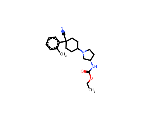 CCOC(=O)N[C@@H]1CCN(C2CCC(C#N)(c3ccccc3C)CC2)C1